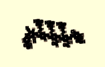 CC(=O)Nc1cc(N=Nc2cc(SCCCS(=O)(=O)O)c(N=Nc3cc(OCCCS(=O)(=O)O)c(N=Nc4c(C)c(C#N)c5nc6ccc(S(=O)(=O)O)cc6n5c4O)cc3C)cc2NC(C)=O)c(SCCCS(=O)(=O)O)cc1N=Nc1cc(S(=O)(=O)O)c(Cl)cc1Cl